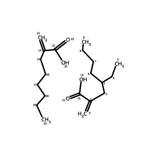 C=C(CC(CC)CCCC)C(=O)O.C=C(CCCCCC)C(=O)O